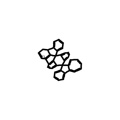 Clc1cccc2c1C1(C3=CC=CCC3c3ccccc31)c1ccccc1C21C2=CC=CC=C=C2c2ccccc21